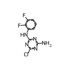 Nc1nc(Cl)nc(Nc2cccc(F)c2F)n1